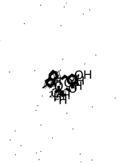 [2H]C([2H])([2H])[C@@H](CC)C(=O)O[C@H]1C[C@@H](C)C=C2C=C[C@H](C)[C@H](CCC3C[C@@H](O)C([2H])([2H])C(=O)O3)[C@H]21